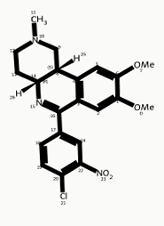 COc1cc2c(cc1OC)[C@H]1CN(C)CC[C@H]1N=C2c1ccc(Cl)c([N+](=O)[O-])c1